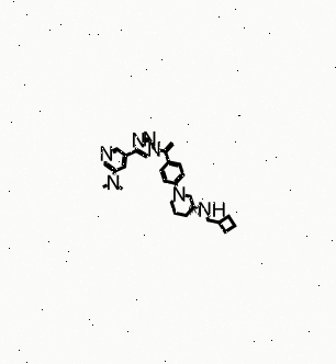 C=C(c1ccc(N2CCC[C@@H](NCC3CCC3)C2)cc1)n1cc(-c2cncc(N(C)C)c2)nn1